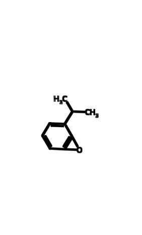 CC(C)c1cccc2c1O2